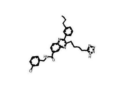 CCCc1cccc(-c2nc3ccc(C(=O)NCc4cccc(Cl)c4)cc3nc2CCCCc2nnn[nH]2)c1